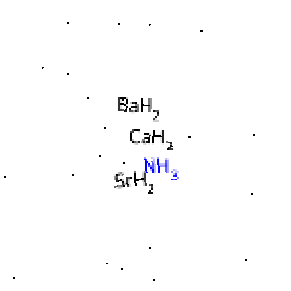 N.[BaH2].[CaH2].[SrH2]